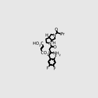 CC(C)C(=O)N1C[C@@H]2CCN(C(=O)CC(N)Cc3cc(F)c(F)cc3F)[C@@H]2C1.O=C(O)C=CC(=O)O